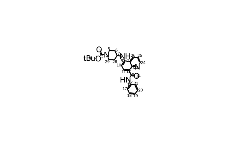 CC(C)(C)OC(=O)N1CCC(Nc2ccc(C(=O)Nc3ccccc3)c3ncccc23)CC1